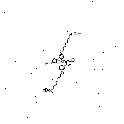 CCCCCCCCCCCCCCCCCCOc1ccc(S(=O)(=O)c2ccc(OCCCCCCCCCCCCCCCCCC)cc2-c2ccc(O)cc2)c(-c2ccc(O)cc2)c1